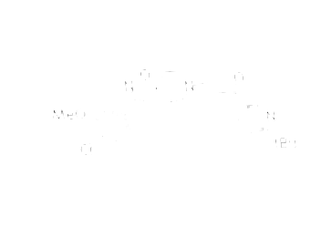 COc1cc(C2=NOC3(CCN(C=CC(=O)c4ccc(C(C)(C)C)nc4)CC3)C2)ccc1Cl